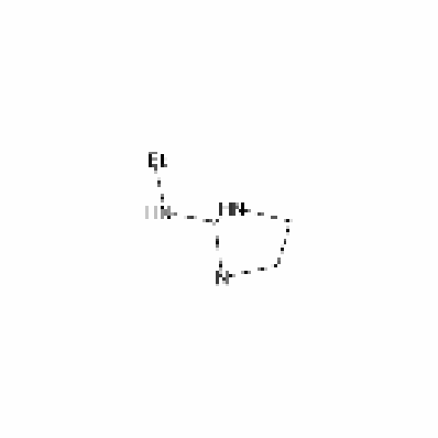 CCNC1[N]CCN1